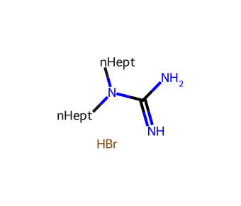 Br.CCCCCCCN(CCCCCCC)C(=N)N